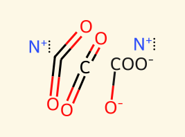 O=C([O-])[O-].O=C=O.O=C=O.[N+].[N+]